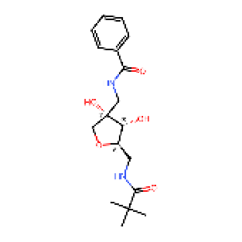 CC(C)(C)C(=O)NC[C@H]1OC[C@@](O)(CNC(=O)c2ccccc2)[C@@H]1O